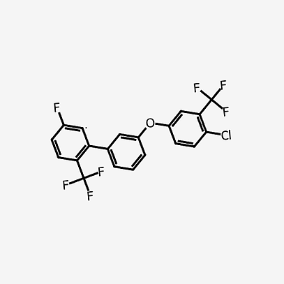 Fc1[c]c(-c2cccc(Oc3ccc(Cl)c(C(F)(F)F)c3)c2)c(C(F)(F)F)cc1